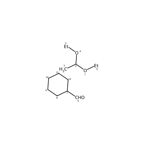 CCOC(C)OCC.O=CC1CCCCC1